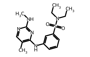 CCN(CC)S(=O)(=O)c1cccc(Nc2nc(NC)ncc2C)c1